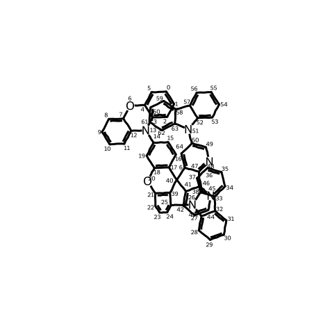 c1ccc2c(c1)Oc1ccccc1N2c1ccc2c(c1)Oc1cccc(-n3c4ccccc4c4ccccc43)c1C21c2cccnc2-c2ncc(-n3c4ccccc4c4ccccc43)cc21